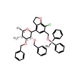 CC[C@H]1OC(c2cc(CO[Si](c3ccccc3)(c3ccccc3)C(C)(C)C)c(Cl)c3c2CCO3)[C@H](OCc2ccccc2)[C@@H](OCc2ccccc2)[C@@H]1C